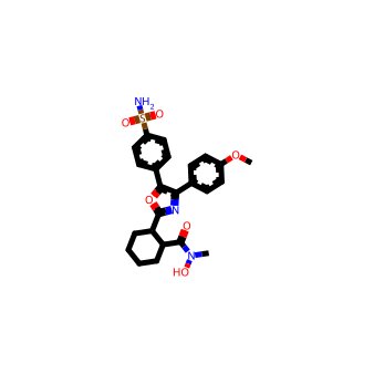 COc1ccc(-c2nc(C3CCCCC3C(=O)N(C)O)oc2-c2ccc(S(N)(=O)=O)cc2)cc1